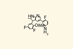 COc1c(F)cc(F)cc1C1c2cc(-c3cc(N)ccc3F)cnc2NC1C